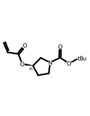 C=CC(=O)O[C@@H]1CCN(C(=O)OC(C)(C)C)C1